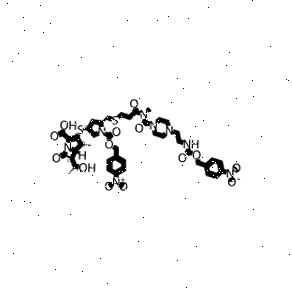 C[C@@H](O)[C@H]1C(=O)N2C(C(=O)O)=C(S[C@H]3C[C@@H](CSCCC(=O)N(C)C(=O)N4CCN(CCNC(=O)OCc5ccc([N+](=O)[O-])cc5)CC4)N(C(=O)OCc4ccc([N+](=O)[O-])cc4)C3)[C@H](C)[C@H]12